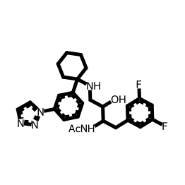 CC(=O)NC(Cc1cc(F)cc(F)c1)C(O)CNC1(c2cccc(-n3ccnn3)c2)CCCCC1